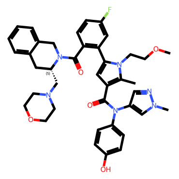 COCCn1c(-c2cc(F)ccc2C(=O)N2Cc3ccccc3C[C@H]2CN2CCOCC2)cc(C(=O)N(c2ccc(O)cc2)c2cnn(C)c2)c1C